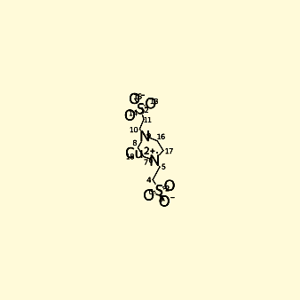 O=S(=O)([O-])CCN1CCN(CCS(=O)(=O)[O-])CC1.[Cu+2]